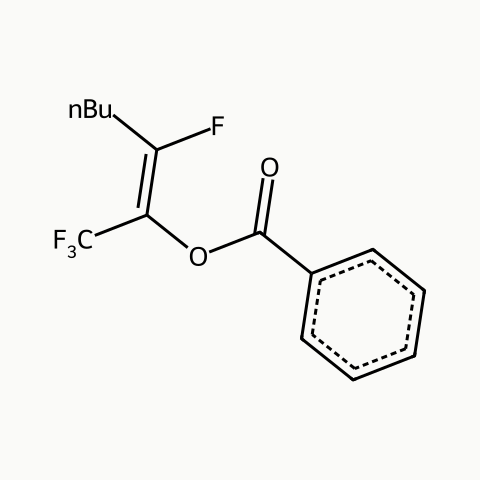 CCCCC(F)=C(OC(=O)c1ccccc1)C(F)(F)F